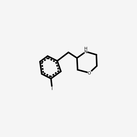 Ic1cccc(CC2COCCN2)c1